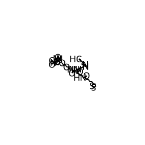 C#CCCC1(CCC(=O)N[C@@H](CCCCNC(=O)CCCCC2CCSS2)C(=O)NCCOCCOc2ccc([N+](=O)[O-])c3nonc23)N=N1